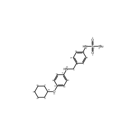 CC(C)(C)S(=O)(=O)Nc1ccc(CNc2ccc(OC3CCCCC3)cc2)cc1